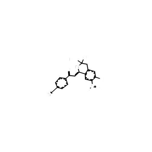 CC1(C)Cc2cc(Cl)c([N+](=O)[O-])cc2C(=CC(=O)c2ccc(C#N)cc2)N1